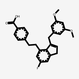 COc1cc(CC2=CCc3cc(F)cc(CCc4ccc(C(=O)O)cc4)c32)cc(OC)c1